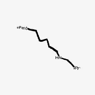 CCCCCCCCCCNC[C](C)C